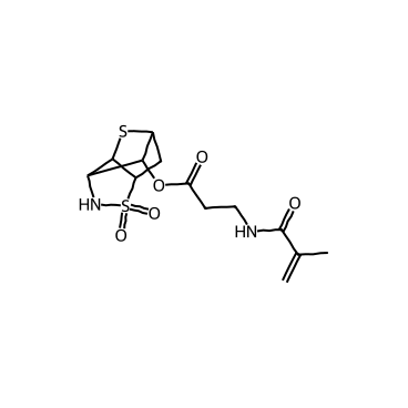 C=C(C)C(=O)NCCC(=O)OC1C2CC3C(S2)C1NS3(=O)=O